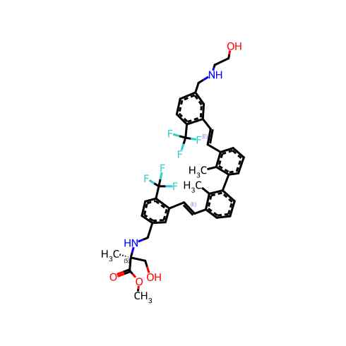 COC(=O)[C@](C)(CO)NCc1ccc(C(F)(F)F)c(/C=C/c2cccc(-c3cccc(/C=C/c4cc(CNCCO)ccc4C(F)(F)F)c3C)c2C)c1